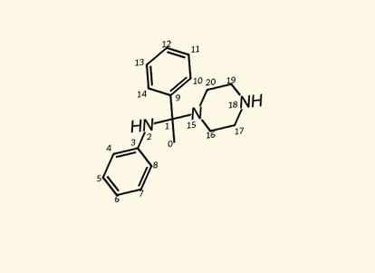 CC(Nc1ccccc1)(c1ccccc1)N1CCNCC1